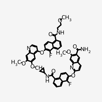 COCCNC(=O)c1cccc2c(F)c(Oc3ccnc4cc(OC)c(OC)cc34)ccc12.COc1cc2nc(Oc3ccc4c(C(=O)NC5CC5)cccc4c3F)ccc2cc1C(N)=O